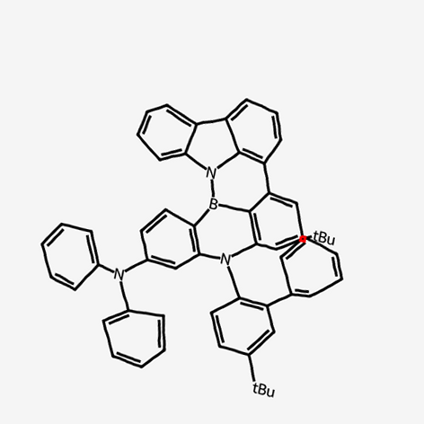 CC(C)(C)c1ccc(N2c3cc(N(c4ccccc4)c4ccccc4)ccc3B3c4c(cc(C(C)(C)C)cc42)-c2cccc4c5ccccc5n3c24)c(-c2ccccc2)c1